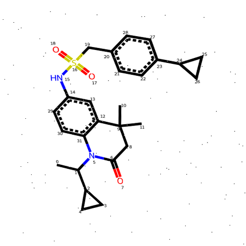 CC(C1CC1)N1C(=O)CC(C)(C)c2cc(NS(=O)(=O)Cc3ccc(C4CC4)cc3)ccc21